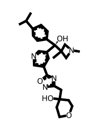 CC(C)c1ccc([C@](O)(c2cncc(-c3nc(CC4(O)CCOCC4)no3)c2)C2(C)CN(C)C2)cc1